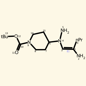 CCC/C(N)=C\N(N)C1CCN(C(=O)OC(C)(C)C)CC1